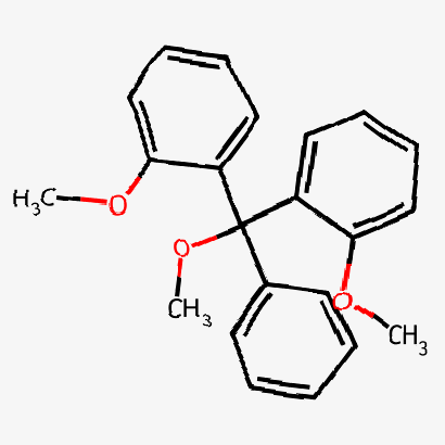 COc1ccccc1C(OC)(c1ccccc1)c1ccccc1OC